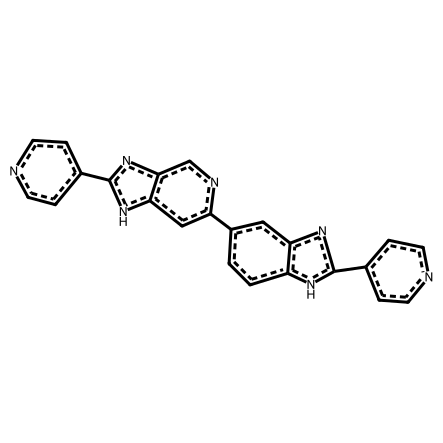 c1cc(-c2nc3cc(-c4cc5[nH]c(-c6ccncc6)nc5cn4)ccc3[nH]2)ccn1